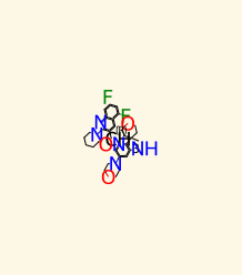 Cc1c(N2CCCCC2=O)nc2cc(F)cc(F)c2c1[C@H]1CC2(CCO1)CNc1cc(N3CCOCC3)cnc12